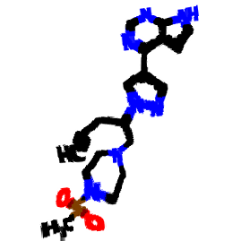 C#CCC(CN1CCN(S(C)(=O)=O)CC1)n1cc(-c2ncnc3[nH]ccc23)cn1